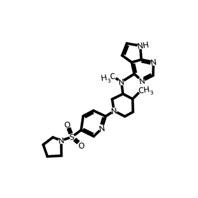 CC1CCN(c2ccc(S(=O)(=O)N3CCCC3)cn2)CC1N(C)c1ncnc2[nH]ccc12